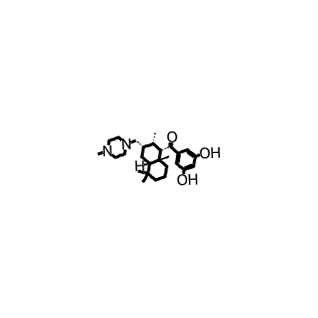 C[C@H]1[C@@H](CN2CCN(C)CC2)C[C@H]2C(C)(C)CCC[C@@]2(C)[C@H]1C(=O)c1cc(O)cc(O)c1